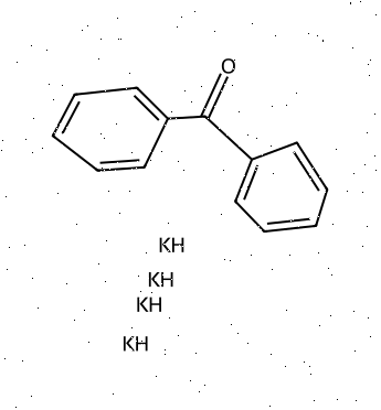 O=C(c1ccccc1)c1ccccc1.[KH].[KH].[KH].[KH]